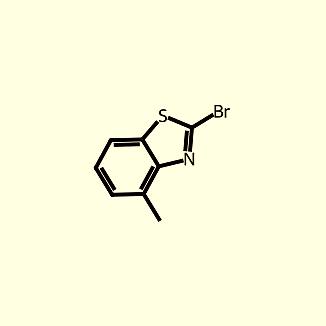 Cc1cccc2sc(Br)nc12